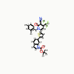 Cc1ccc(Cn2c(-c3ccc(-c4ccc5ccn(C(=O)OC(C)(C)C)c5c4)s3)cc(C(F)(F)F)c(C#N)c2=O)c(C)c1